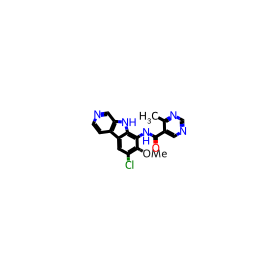 COc1c(Cl)cc2c([nH]c3cnccc32)c1NC(=O)c1cncnc1C